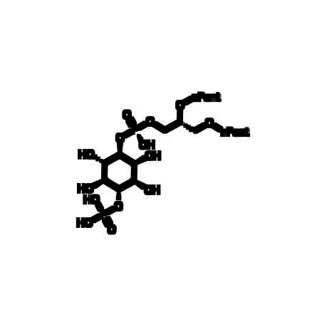 CCCCCOC[C@H](CO[P@@](=O)(O)O[C@H]1[C@@H](O)[C@@H](O)[C@H](OP(=O)(O)O)[C@@H](O)[C@@H]1O)OCCCCC